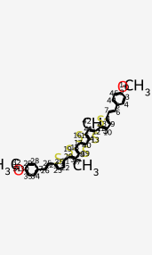 COc1ccc(/C=C/c2ccc(-c3sc4c(sc5c6sc(-c7ccc(/C=C/c8ccc(OC)cc8)s7)c(C)c6sc45)c3C)s2)cc1